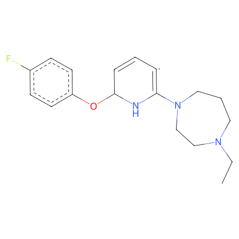 CCN1CCCN(C2=[C]C=CC(Oc3ccc(F)cc3)N2)CC1